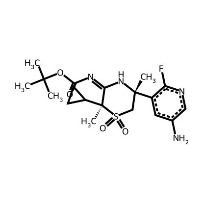 CC(C)(C)OC(=O)/N=C1/N[C@](C)(c2cc(N)cnc2F)CS(=O)(=O)[C@@]1(C)C1CC1